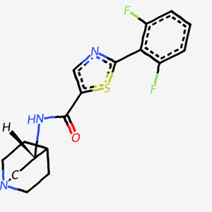 O=C(N[C@H]1CN2CCC1CC2)c1cnc(-c2c(F)cccc2F)s1